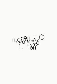 CC(C)(C)OC(=O)NC[C@H](NC(=O)c1ccccc1)C(=O)NO